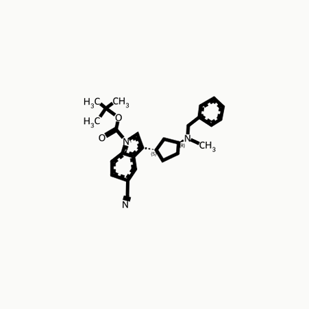 CN(Cc1ccccc1)[C@@H]1CC[C@H](c2cn(C(=O)OC(C)(C)C)c3ccc(C#N)cc23)C1